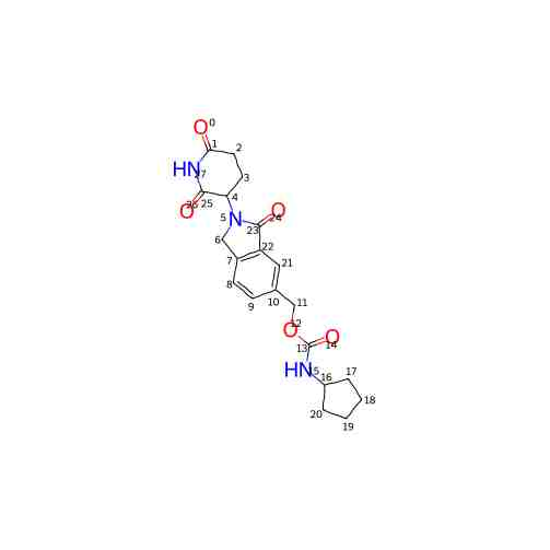 O=C1CCC(N2Cc3ccc(COC(=O)NC4CCCC4)cc3C2=O)C(=O)N1